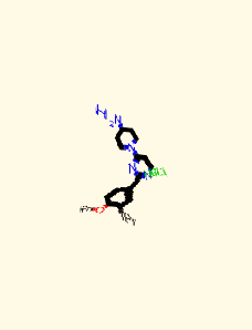 CC(C)Oc1ccc(-c2nccc(N3CCC(N)CC3)n2)cc1C(C)C.Cl.Cl